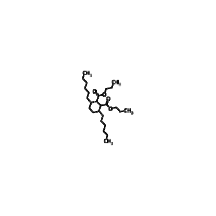 CCCCCCC1CCC(CCCCCC)C(C(=O)OCCC)C1C(=O)OCCC